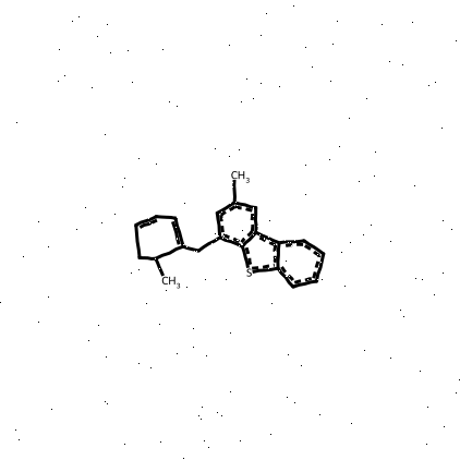 Cc1cc(CC2=CC=CCC2C)c2sc3ccccc3c2c1